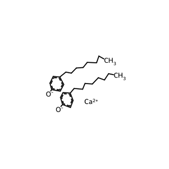 CCCCCCCCc1ccc([O-])cc1.CCCCCCCCc1ccc([O-])cc1.[Ca+2]